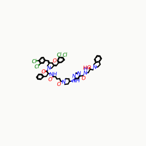 O=C(CCCC(=O)N1CCC(Nc2cc(C(=O)NCC(O)CN3CCc4ccccc4C3)ncn2)CC1)NC(Cc1ccccc1)C(=O)N1CC(=Cc2ccc(Cl)c(Cl)c2)C(=O)C(=Cc2ccc(Cl)c(Cl)c2)C1